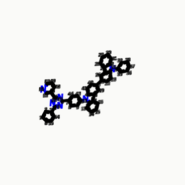 c1ccc(-c2nc(-c3ccc(-n4c5ccccc5c5cc(-c6ccc7c(c6)c6ccccc6n7-c6ccccc6)ccc54)cc3)nc(-c3cccnc3)n2)cc1